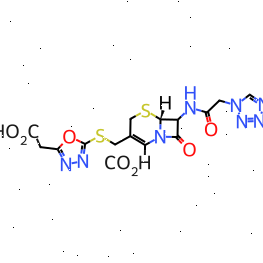 O=C(O)Cc1nnc(SCC2=C(C(=O)O)N3C(=O)C(NC(=O)Cn4cnnn4)[C@H]3SC2)o1